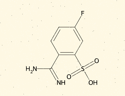 N=C(N)c1ccc(F)cc1S(=O)(=O)O